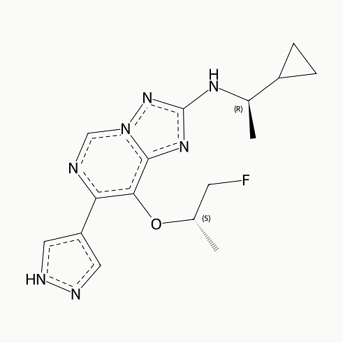 C[C@@H](CF)Oc1c(-c2cn[nH]c2)ncn2nc(N[C@H](C)C3CC3)nc12